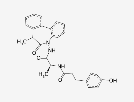 CC1C(=O)N(NC(=O)[C@H](C)NC(=O)CCc2ccc(O)cc2)c2ccccc2-c2ccccc21